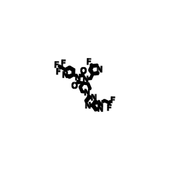 O=C1N(c2ccc(C(F)(F)F)nc2)C(=O)C2(CCN(c3cnc4cnn(CC(F)F)c4n3)CC2)N1Cc1cncc(F)c1